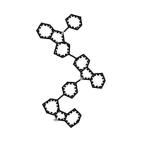 c1ccc(-n2c3ccccc3c3ccc(-c4ccc5c6ccccc6n(-c6ccc(-c7cccc8[nH]c9ccccc9c78)cc6)c5c4)cc32)cc1